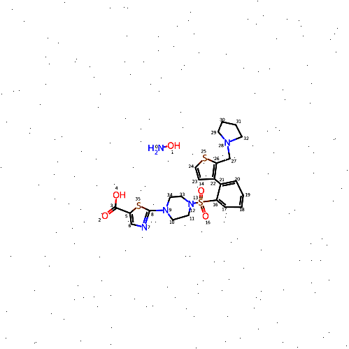 NO.O=C(O)c1cnc(N2CCN(S(=O)(=O)c3ccccc3-c3ccsc3CN3CCCC3)CC2)s1